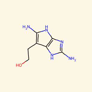 Nc1nc2[nH]c(N)c(CCO)c2[nH]1